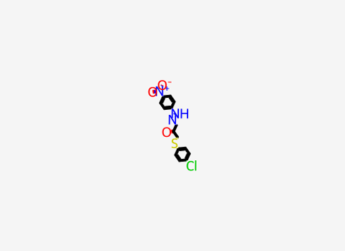 O=C(C=NNc1ccc([N+](=O)[O-])cc1)CSc1ccc(Cl)cc1